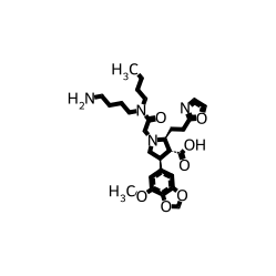 CCCCN(CCCCN)C(=O)CN1C[C@H](c2cc(OC)c3c(c2)OCO3)[C@@H](C(=O)O)[C@@H]1CCc1ncco1